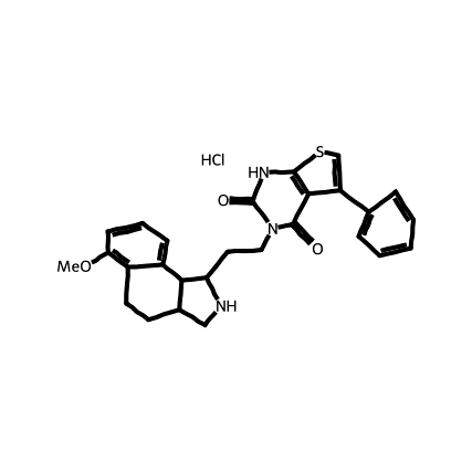 COc1cccc2c1CCC1CNC(CCn3c(=O)[nH]c4scc(-c5ccccc5)c4c3=O)C21.Cl